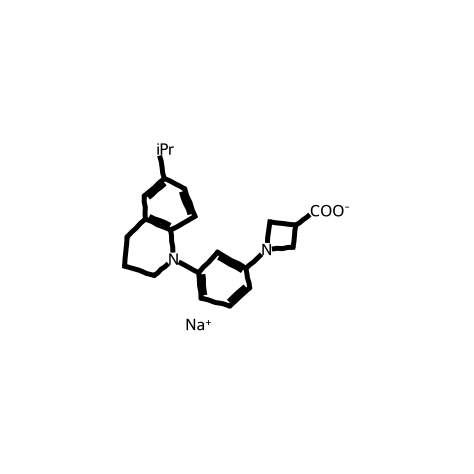 CC(C)c1ccc2c(c1)CCCN2c1cccc(N2CC(C(=O)[O-])C2)c1.[Na+]